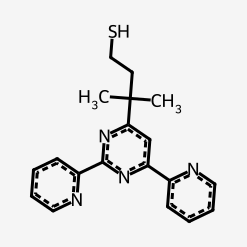 CC(C)(CCS)c1cc(-c2ccccn2)nc(-c2ccccn2)n1